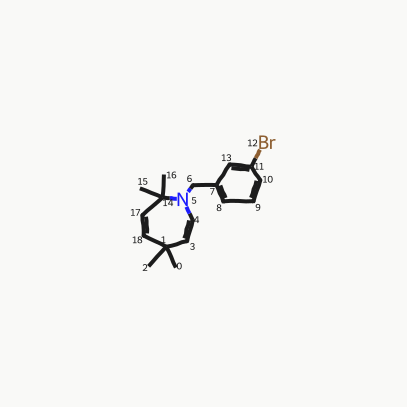 CC1(C)C=CN(Cc2cccc(Br)c2)C(C)(C)C=C1